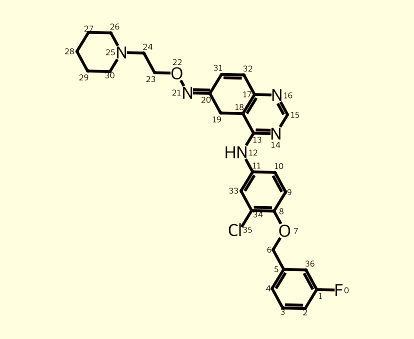 Fc1cccc(COc2ccc(Nc3ncnc4c3CC(=NOCCN3CCCCC3)C=C4)cc2Cl)c1